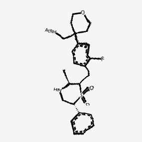 CC(=O)NCC1(c2ccc(CC3[C@H](C)NC[C@@H](c4ccccc4)S3(=O)=O)c(F)c2)CCOCC1